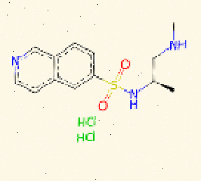 CNC[C@@H](C)NS(=O)(=O)c1ccc2cnccc2c1.Cl.Cl